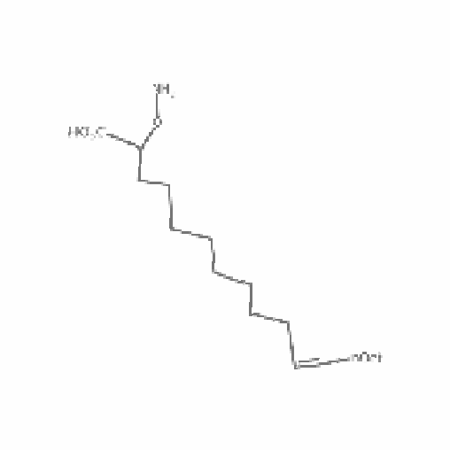 CCCCCCCC/C=C\CCCCCCCCC(ON)C(=O)O